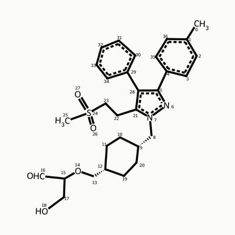 Cc1ccc(-c2nn(C[C@H]3CC[C@@H](COC(C=O)CO)CC3)c(CCS(C)(=O)=O)c2-c2ccccc2)cc1